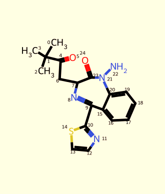 CC(C)(C)C(=O)CC1N=C(c2nccs2)c2ccccc2N(N)C1=O